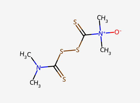 CN(C)C(=S)SSC(=S)[N+](C)(C)[O-]